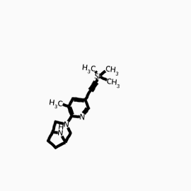 Cc1cc(C#C[Si](C)(C)C)cnc1N1CC2CCC(C1)N2